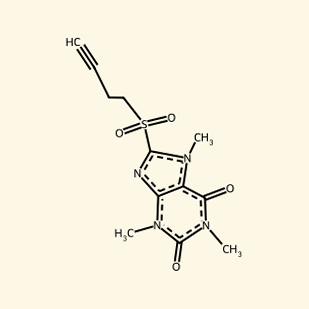 C#CCCS(=O)(=O)c1nc2c(c(=O)n(C)c(=O)n2C)n1C